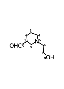 O=CC1CCCN(CCO)C1